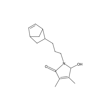 CC1=C(C)C(O)N(CCCC2CC3C=CC2C3)C1=O